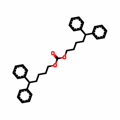 O=C(OCCCCC(c1ccccc1)c1ccccc1)OCCCCC(c1ccccc1)c1ccccc1